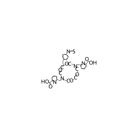 O=C(O)c1cccc(CN2CCOCCOCCN(Cc3cccc(C(=O)O)n3)CCOC(Cc3ccc(N=C=S)cc3)COCC2)n1